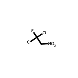 O=[N+]([O-])CC(F)(Cl)Cl